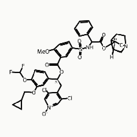 COc1ccc(S(=O)(=O)NC(C(=O)O[C@H]2CN3CCC2CC3)c2ccccc2)cc1C(=O)O[C@@H](Cc1c(Cl)c[n+]([O-])cc1Cl)c1ccc(OC(F)F)c(OCC2CC2)c1